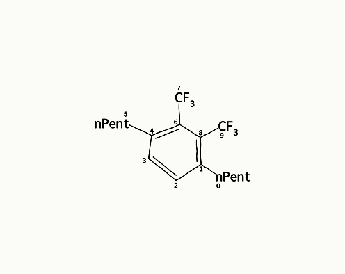 CCCCCc1ccc(CCCCC)c(C(F)(F)F)c1C(F)(F)F